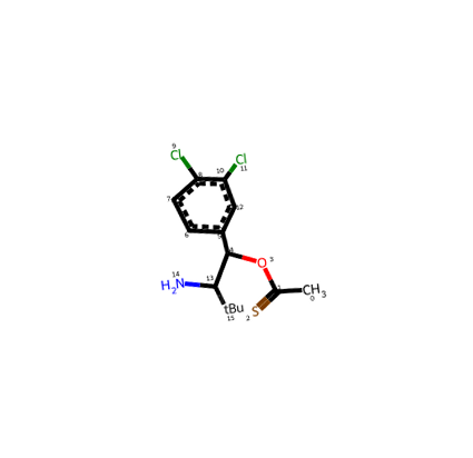 CC(=S)OC(c1ccc(Cl)c(Cl)c1)C(N)C(C)(C)C